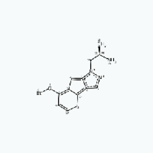 CCOC1=C2C=c3c(cnn3C[C@@H](C)N)=C2CC=C1